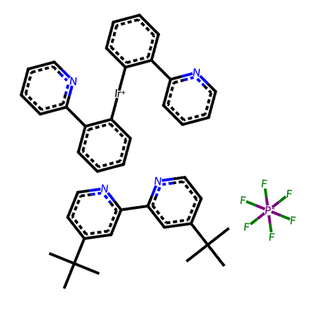 CC(C)(C)c1ccnc(-c2cc(C(C)(C)C)ccn2)c1.F[P-](F)(F)(F)(F)F.c1ccc(-c2cccc[c]2[Ir+][c]2ccccc2-c2ccccn2)nc1